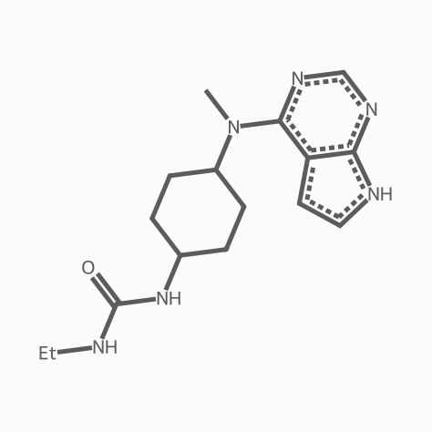 CCNC(=O)NC1CCC(N(C)c2ncnc3[nH]ccc23)CC1